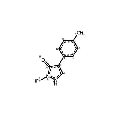 Cc1ccc(-c2c[nH]n(C(C)C)c2=O)cc1